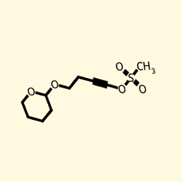 CS(=O)(=O)OC#CCCOC1CCCCO1